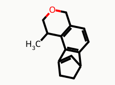 CC1COCc2ccc3c(c21)C1=CC3CC1